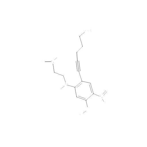 COc1cc(N(C)CCN(C)C)c(C#CCCCO)cc1[N+](=O)[O-]